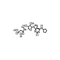 CCN(C[C@H]1O[C@@H](n2cnc3c(NC4CCCC4)nc(Cl)nc32)[C@H](O)[C@@H]1O)C(=O)CP(=O)(O)O